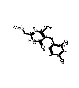 COCc1nc(C(C)C)c(Cc2ccc(Cl)cc2Cl)c(=O)[nH]1